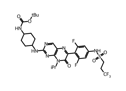 CC(C)n1c(=O)c(-c2c(F)cc(NS(=O)(=O)CCC(F)(F)F)cc2F)nc2cnc(NC3CCC(NC(=O)OC(C)(C)C)CC3)nc21